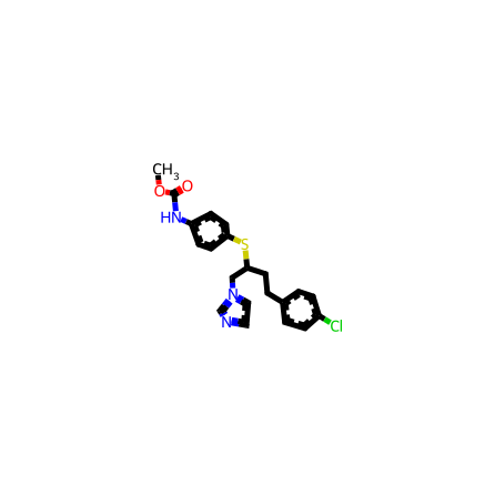 COC(=O)Nc1ccc(SC(CCc2ccc(Cl)cc2)Cn2ccnc2)cc1